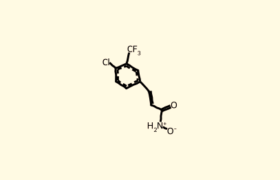 O=C(C=Cc1ccc(Cl)c(C(F)(F)F)c1)[NH2+][O-]